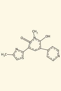 Cc1csc(-c2cc(-c3ccncc3)c(O)n(C)c2=O)n1